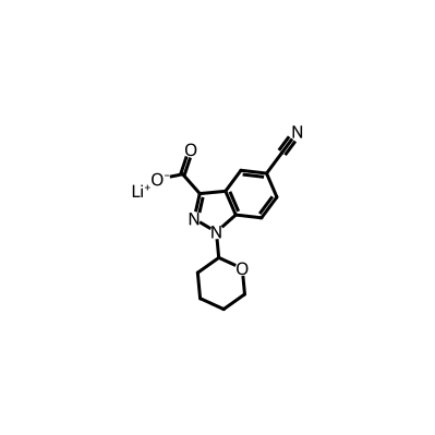 N#Cc1ccc2c(c1)c(C(=O)[O-])nn2C1CCCCO1.[Li+]